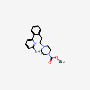 CC(C)(C)OC(=O)N1CCN(CCc2ccccc2-c2cccc(N)n2)CC1